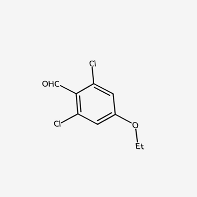 CCOc1cc(Cl)c(C=O)c(Cl)c1